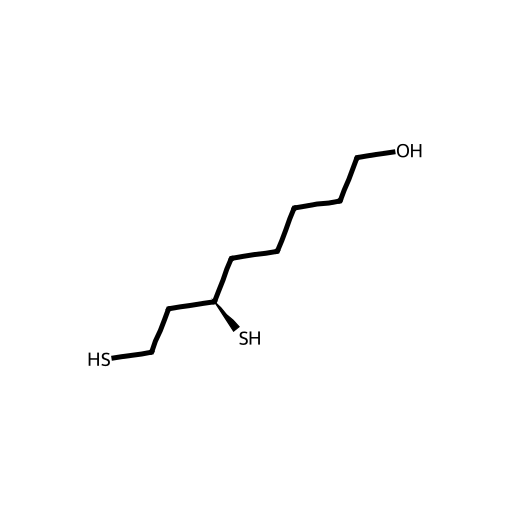 OCCCCC[C@@H](S)CCS